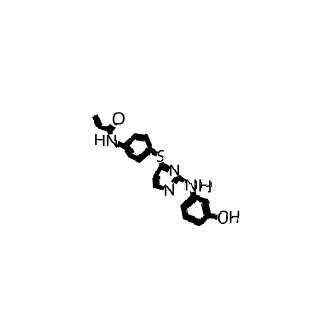 C=CC(=O)Nc1ccc(Sc2ccnc(Nc3cccc(O)c3)n2)cc1